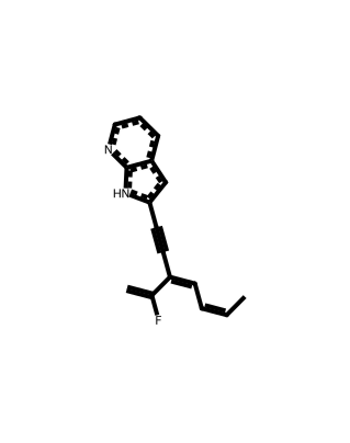 C=C(F)/C(C#Cc1cc2cccnc2[nH]1)=C\C=C/C